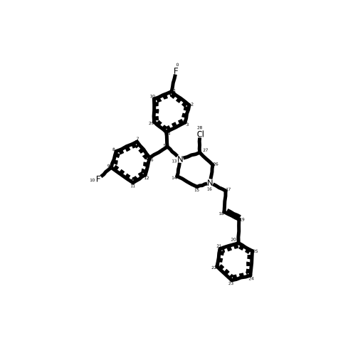 Fc1ccc(C(c2ccc(F)cc2)N2CCN(C/C=C/c3ccccc3)CC2Cl)cc1